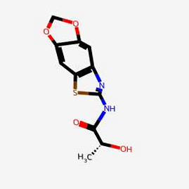 C[C@@H](O)C(=O)Nc1nc2cc3c(cc2s1)OCO3